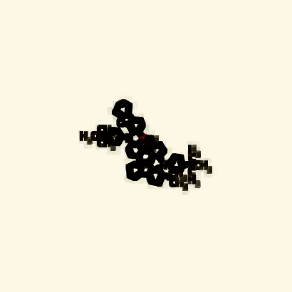 CC(C)c1ccc2c(oc3ccccc32)c1N(c1ccc(C(C)(C)C)cc1)c1ccc2ccc3c(N(c4ccc(C(C)(C)C)cc4)c4c(C(C)C)ccc5c4oc4ccccc45)ccc4ccc1c2c43